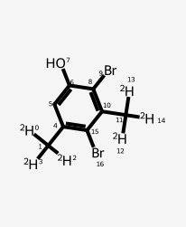 [2H]C([2H])([2H])c1cc(O)c(Br)c(C([2H])([2H])[2H])c1Br